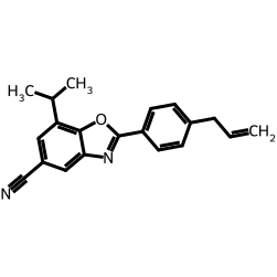 C=CCc1ccc(-c2nc3cc(C#N)cc(C(C)C)c3o2)cc1